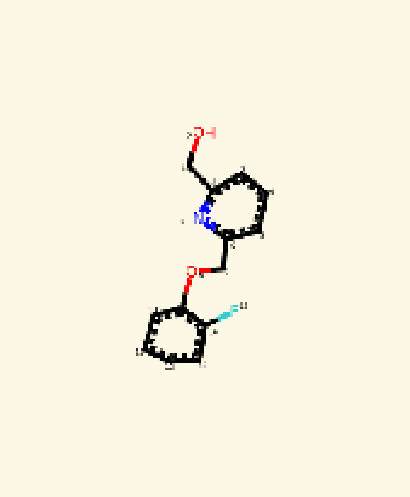 OCc1cccc(COc2ccccc2F)n1